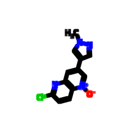 Cn1cc(-c2cc3nc(Cl)ccc3[n+]([O-])c2)cn1